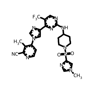 Cc1c(-n2cnc(-c3nc(NC4CCN(S(=O)(=O)c5cn(C)cn5)CC4)ncc3C(F)(F)F)c2)ccnc1C#N